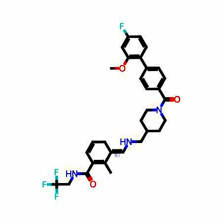 COc1cc(F)ccc1-c1ccc(C(=O)N2CCC(CN/C=C3\CC=CC(C(=O)NCC(F)(F)F)=C3C)CC2)cc1